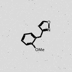 COc1ccccc1Cc1[c]con1